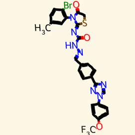 Cc1ccc(Br)c(N2C(=O)CS/C2=N\C(=O)N/N=C/c2ccc(-c3ncn(-c4ccc(OC(F)(F)F)cc4)n3)cc2)c1